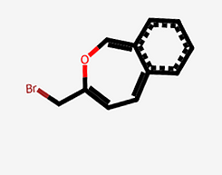 BrCC1=CC=c2ccccc2=CO1